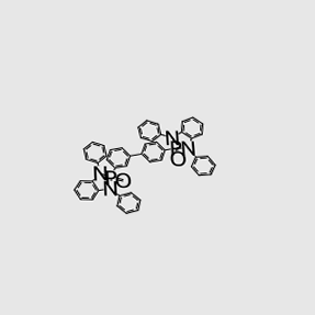 O=P1(c2ccc(-c3cccc(P4(=O)N(c5ccccc5)c5ccccc5N4c4ccccc4)c3)cc2)N(c2ccccc2)c2ccccc2N1c1ccccc1